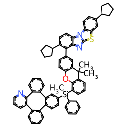 CC1(C)c2cc(-c3c(C4CCCC4)ccc4c3nc3sc5cc(C6CCCC6)ccc5n34)ccc2Oc2c1cccc2[Si](C)(c1ccccc1)c1ccc2c(c1)-c1ccccc1-c1ncccc1-c1ccccc1-2